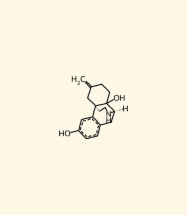 C=C1CCC2(O)[C@H]3Cc4ccc(O)cc4[C@@]2(CCN3)C1